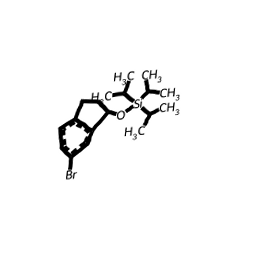 CC(C)[Si](OC1CCc2ccc(Br)cc21)(C(C)C)C(C)C